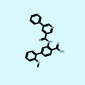 COc1ccccc1-c1ccc(C(=O)O)c(NC(=O)c2cncc(-c3ccccc3)c2)c1